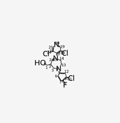 OCC1CN(c2ccc(F)c(Cl)c2)CCN(c2c(Cl)cncc2Cl)C1